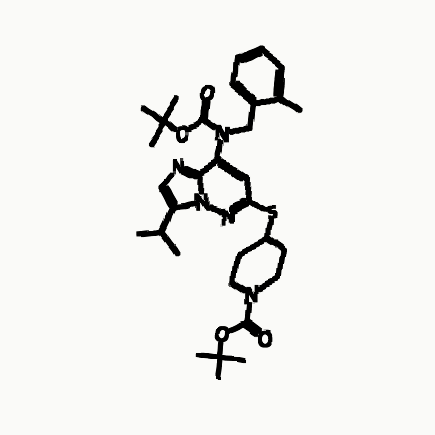 Cc1ccccc1CN(C(=O)OC(C)(C)C)c1cc(SC2CCN(C(=O)OC(C)(C)C)CC2)nn2c(C(C)C)cnc12